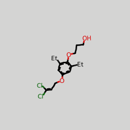 CCc1cc(OCC=C(Cl)Cl)cc(CC)c1OCCCO